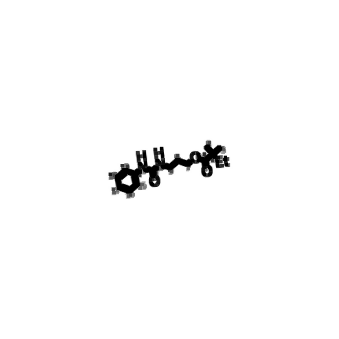 CCC(C)(C)C(=O)OCCCNC(=O)Nc1ccccc1